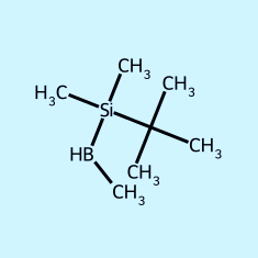 CB[Si](C)(C)C(C)(C)C